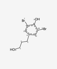 OCCCc1cc(Br)c(O)c(Br)c1